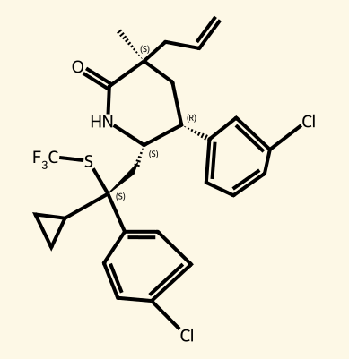 C=CC[C@@]1(C)C[C@H](c2cccc(Cl)c2)[C@H](C[C@@](SC(F)(F)F)(c2ccc(Cl)cc2)C2CC2)NC1=O